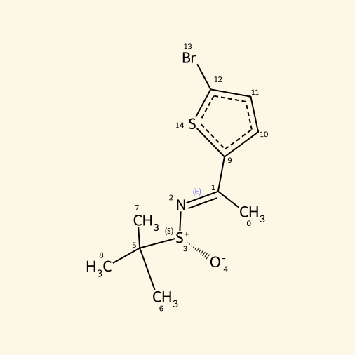 C/C(=N\[S@+]([O-])C(C)(C)C)c1ccc(Br)s1